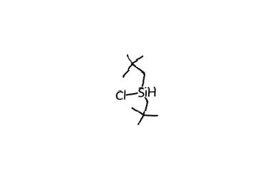 CC(C)(C)C[SiH](Cl)CC(C)(C)C